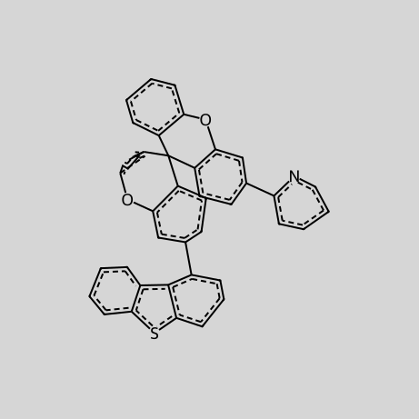 c1ccc(-c2ccc3c(c2)Oc2ccccc2C32c3ccccc3Oc3cc(-c4cccc5sc6ccccc6c45)ccc32)nc1